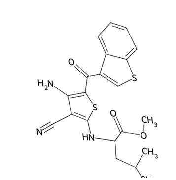 COC(=O)C(CC(C)C)Nc1sc(C(=O)c2csc3ccccc23)c(N)c1C#N